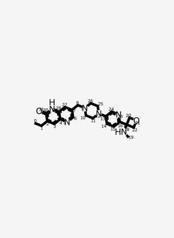 CCc1cc2ncc(CN3CCN(c4ccc(C5(NC)COC5)nc4)CC3)cc2[nH]c1=O